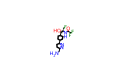 NCc1ccc(-c2ccc([C@@H](O)[C@@H](CF)NC(=O)C(F)F)cc2)nn1